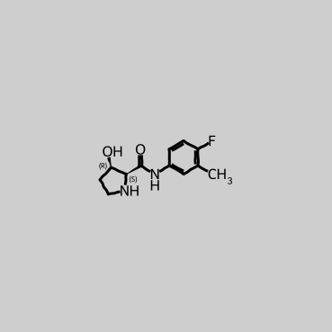 Cc1cc(NC(=O)[C@H]2NCC[C@H]2O)ccc1F